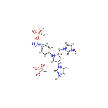 CS(=O)(=O)[O-].CS(=O)(=O)[O-].C[n+]1ccn(CC2CC(n3cc[n+](C)c3)CN2c2ccc(N)cc2)c1